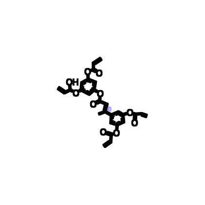 C=CC(=O)Oc1cc(OC(=O)/C=C(\C)c2cc(OC(=O)C=C)cc(OC(=O)C=C)c2)cc(OC(O)C=C)c1